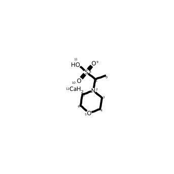 CC(N1CCOCC1)S(=O)(=O)O.[CaH2]